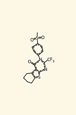 CS(=O)(=O)c1ccc(-n2c(C(F)(F)F)nc3sc4c(c3c2=O)CCCC4)cc1